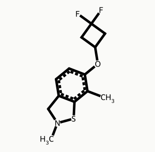 Cc1c(OC2CC(F)(F)C2)ccc2c1SN(C)C2